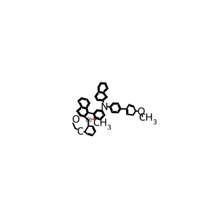 CC[C@H]1c2c(cc3ccccc3c2-c2cccc(N(c3ccc(C4=CCC(OC)C=C4)cc3)c3ccc4ccccc4c3)c2)OCCCC2C=CC=CC21